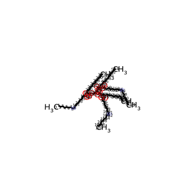 CCCCCCCC/C=C\CCCCCCCC(=O)OC(CCCCCCCCCCCC)C(=O)OCC(COC(=O)C(CCCCCCCCCCCC)OC(=O)CCCCCCC/C=C\CCCCCCCC)OC(=O)C(CCCCCCCCCCCC)OC(=O)CCCCCCC/C=C\CCCCCCCC